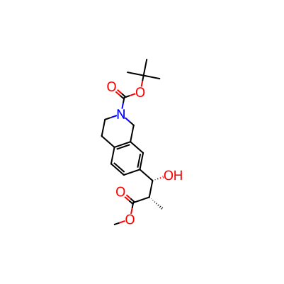 COC(=O)[C@@H](C)[C@@H](O)c1ccc2c(c1)CN(C(=O)OC(C)(C)C)CC2